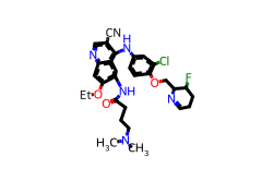 CCOc1cc2ncc(C#N)c(Nc3ccc(OCC4N=CCCC4F)c(Cl)c3)c2cc1NC(=O)CCCN(C)C